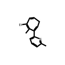 CCC1=C(C)C(c2cccc(C)n2)=CCC=C1